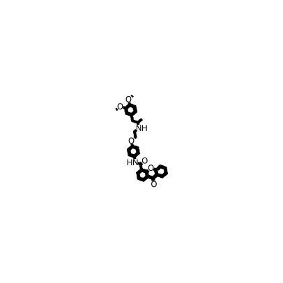 COc1ccc(CC(C)NCCOc2ccc(NC(=O)c3cccc4c(=O)c5ccccc5oc34)cc2)cc1OC